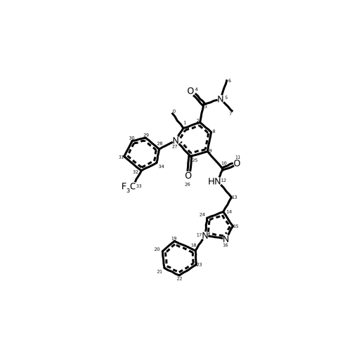 Cc1c(C(=O)N(C)C)cc(C(=O)NCc2cnn(-c3ccccc3)c2)c(=O)n1-c1cccc(C(F)(F)F)c1